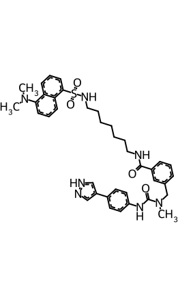 CN(Cc1cccc(C(=O)NCCCCCCCNS(=O)(=O)c2cccc3c(N(C)C)cccc23)c1)C(=O)Nc1ccc(-c2cn[nH]c2)cc1